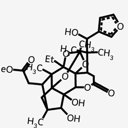 CCC12OC3(C)OC14C(C(C)(C)C(O)c1ccoc1)CC(=O)OC4C1(O)C(O)C4(C)CC1(O3)C2(C)C4CC(=O)OC